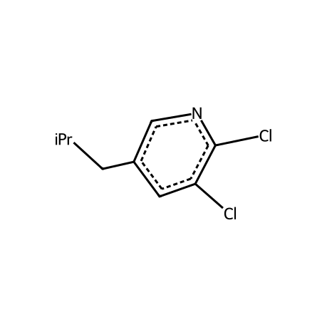 CC(C)Cc1cnc(Cl)c(Cl)c1